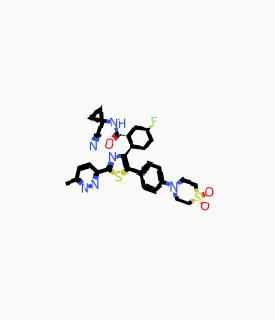 Cc1ccc(-c2nc([C@@H]3CC[C@H](F)C[C@H]3C(=O)NC3(C#N)CC3)c(-c3ccc(N4CCS(=O)(=O)CC4)cc3)s2)nn1